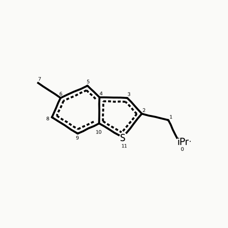 C[C](C)Cc1cc2cc(C)ccc2s1